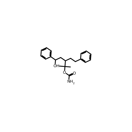 CC(C)(OC(N)=O)C(CCc1ccccc1)CC(O)c1ccccc1